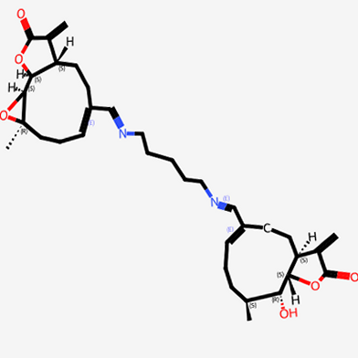 C=C1C(=O)O[C@@H]2[C@H](O)[C@@H](C)CC/C=C(/C=N/CCCCCN=C/C3=C/CC[C@@]4(C)O[C@H]4[C@H]4OC(=O)C(=C)[C@@H]4CC3)CC[C@@H]12